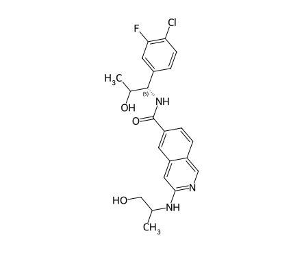 CC(CO)Nc1cc2cc(C(=O)N[C@@H](c3ccc(Cl)c(F)c3)C(C)O)ccc2cn1